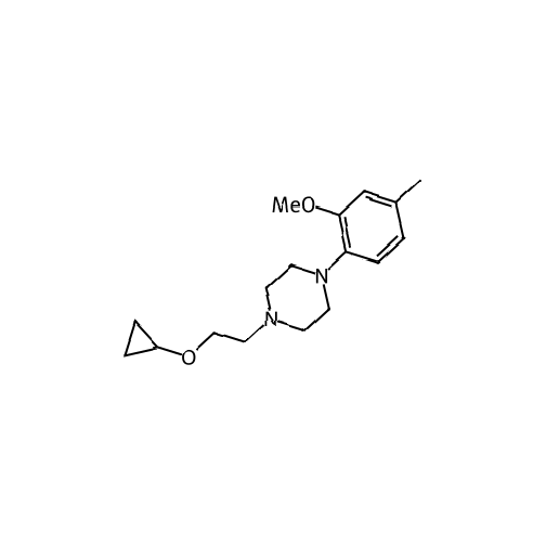 COc1cc(C)ccc1N1CCN(CCOC2CC2)CC1